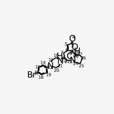 C[C@]12OC(=O)C=C1CC(N1CCN(c3ccc(Br)cc3)CC1)CN1CCCC[C@@H]12